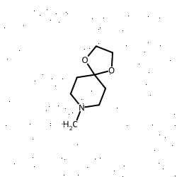 [CH2]N1CCC2(CC1)OCCO2